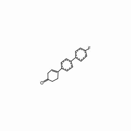 O=C1CC=C(c2ccc(-c3ccc(F)cc3)cc2)CC1